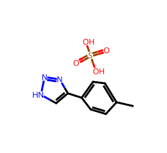 Cc1ccc(-c2c[nH]nn2)cc1.O=S(=O)(O)O